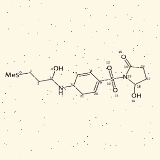 CSCCC(O)NC1C=CC(S(=O)(=O)N2C(=O)CCC2O)=CC1